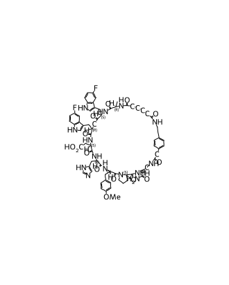 COc1ccc(C[C@@H]2NC(=O)[C@@H](Cc3cnc[nH]3)NC(=O)[C@H](CC(=O)O)NC(=O)[C@H](Cc3c[nH]c4ccc(F)cc34)CC(=O)[C@H](Cc3c[nH]c4ccc(F)cc34)NC(=O)[C@@H](C)NC(=O)CCCCC(=O)NCc3ccc(cc3)CC(=O)NC[C@@H](C(N)=O)NC(=O)[C@]3(C)CCCN3C2=O)cc1